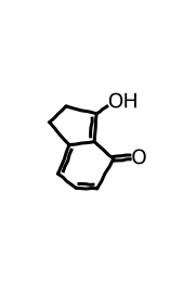 O=C1C=CC=C2CCC(O)=C12